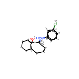 OC12CCCCC1CCCC2Nc1cccc(Cl)c1